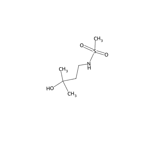 CC(C)(O)CCNS(C)(=O)=O